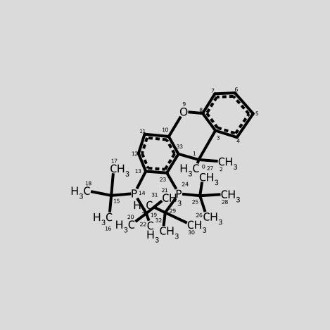 CC1(C)c2ccccc2Oc2ccc(P(C(C)(C)C)C(C)(C)C)c(P(C(C)(C)C)C(C)(C)C)c21